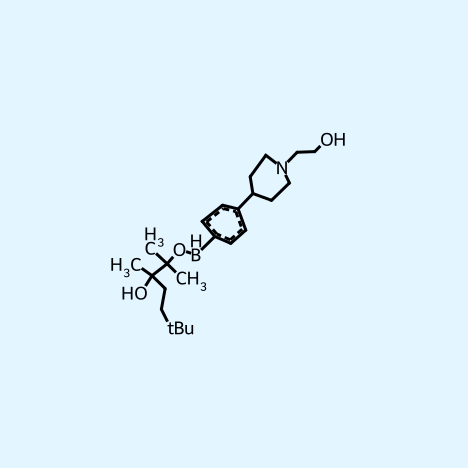 CC(C)(C)CCC(C)(O)C(C)(C)OBc1ccc(C2CCN(CCO)CC2)cc1